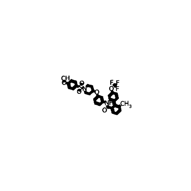 COc1ccc(S(=O)(=O)N2CCC(Oc3cccc(NC(=O)c4cccc(C)c4-c4ccc(OC(F)(F)F)cc4)c3)CC2)cc1